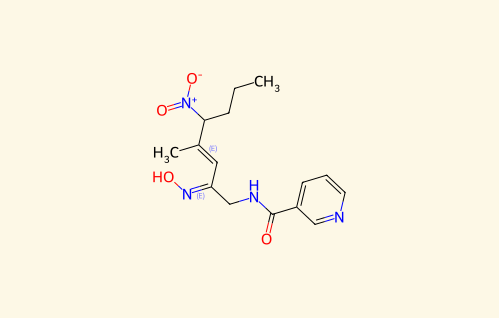 CCCC(/C(C)=C/C(CNC(=O)c1cccnc1)=N\O)[N+](=O)[O-]